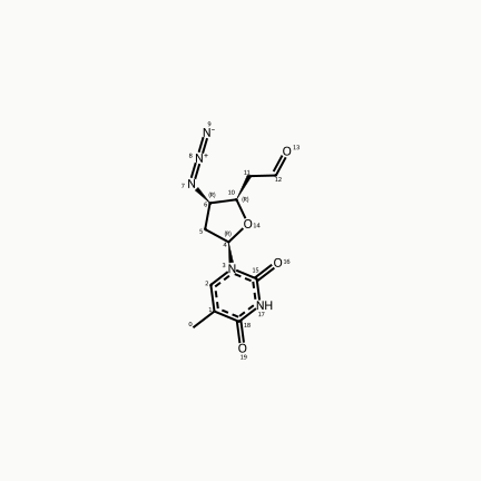 Cc1cn([C@H]2C[C@@H](N=[N+]=[N-])[C@@H](CC=O)O2)c(=O)[nH]c1=O